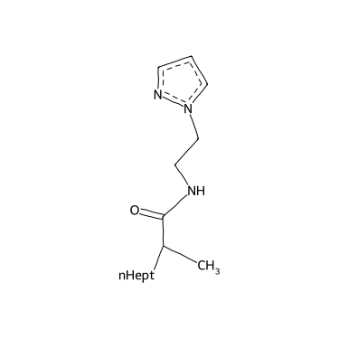 CCCCCCCC(C)C(=O)NCCn1cccn1